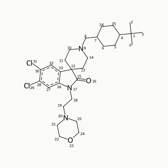 CC(C)(C)C1CCC(CN2CCC3(CC2)C(=O)N(CCN2CCOCC2)c2cc(Cl)c(Cl)cc23)CC1